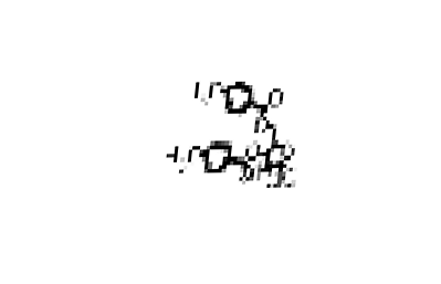 Cc1ccc(C(=O)OC[C@H]2OC(=O)C(Cl)(Cl)[C@@H]2OC(=O)c2ccc(C)cc2)cc1